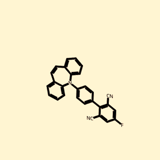 N#Cc1cc(F)cc(C#N)c1-c1ccc(N2c3ccccc3C=Cc3ccccc32)cc1